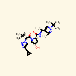 Cc1nn(C(C)(C)C)cc1C(C)NC(=O)[C@H]1C[C@H](O)CN1C(=O)[C@H](n1cc(C2CC2)nn1)C(C)(C)C